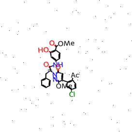 COC(=O)c1ccc(NC(=O)[C@H](Cc2ccccc2)n2nc(OC)c(-c3cc(Cl)ccc3C(C)=O)cc2=O)cc1O